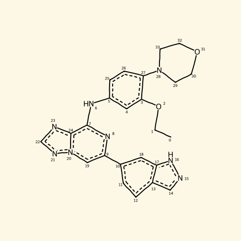 CCOc1cc(Nc2nc(-c3ccc4cn[nH]c4c3)cn3ncnc23)ccc1N1CCOCC1